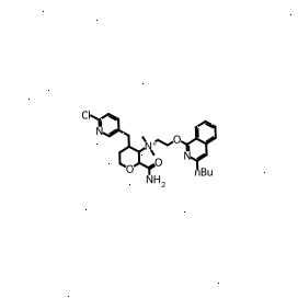 CCCCc1cc2ccccc2c(OCC[N+](C)(C)C2C(Cc3ccc(Cl)nc3)CCOC2C(N)=O)n1